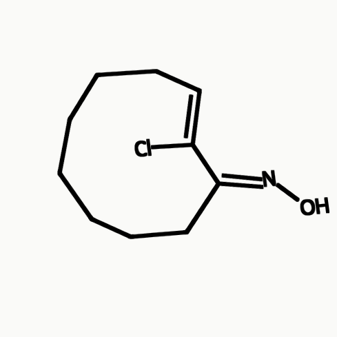 ON=C1CCCCCCC/C=C/1Cl